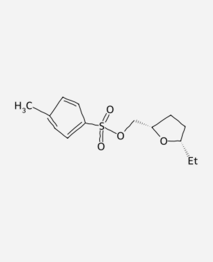 CC[C@H]1CC[C@@H](COS(=O)(=O)c2ccc(C)cc2)O1